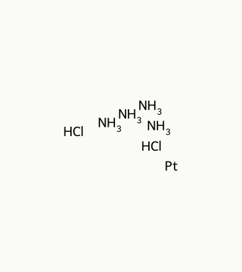 Cl.Cl.N.N.N.N.[Pt]